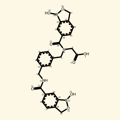 O=C(O)CN(Cc1cccc(CNC(=O)c2ccc3c(c2)B(O)OC3)c1)C(=O)c1ccc2c(c1)B(O)OC2